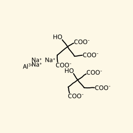 O=C([O-])CC(O)(CC(=O)[O-])C(=O)[O-].O=C([O-])CC(O)(CC(=O)[O-])C(=O)[O-].[Al+3].[Na+].[Na+].[Na+]